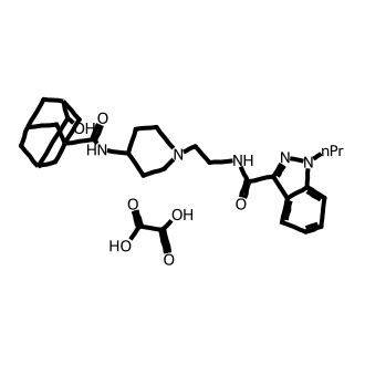 CCCn1nc(C(=O)NCCN2CCC(NC(=O)C34CC5CC(C3)C(O)C(C5)C4)CC2)c2ccccc21.O=C(O)C(=O)O